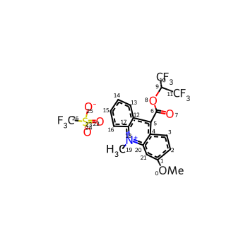 COc1ccc2c(C(=O)OC(C(F)(F)F)C(F)(F)F)c3ccccc3[n+](C)c2c1.O=S(=O)([O-])C(F)(F)F